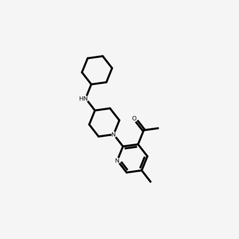 CC(=O)c1cc(C)cnc1N1CCC(NC2CCCCC2)CC1